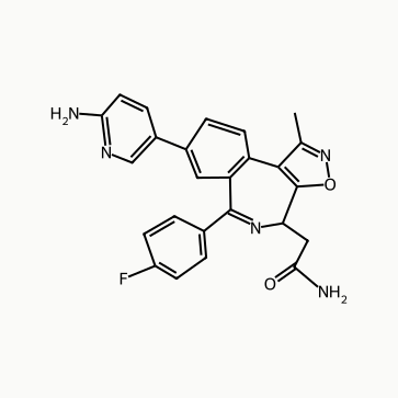 Cc1noc2c1-c1ccc(-c3ccc(N)nc3)cc1C(c1ccc(F)cc1)=NC2CC(N)=O